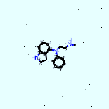 CNCCN(c1ccccc1)c1cccc2c1CCN2